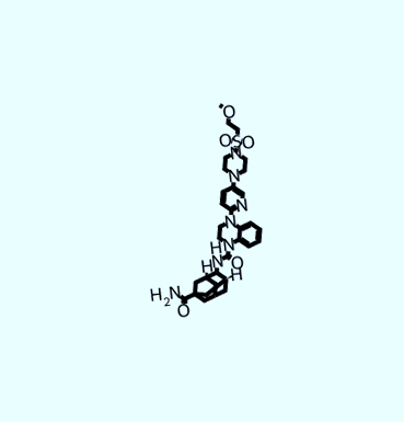 COCCS(=O)(=O)N1CCN(c2ccc(N3CCN(C(=O)NC4[C@@H]5CC6C[C@H]4CC(C(N)=O)(C6)C5)c4ccccc43)nc2)CC1